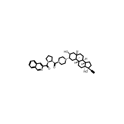 C#C[C@]1(O)CC[C@H]2[C@@H]3CC[C@H]4C[C@H](O)[C@@H](N5CCN(C(=O)[C@@H]6CCCN6C(=O)c6cc7ccccc7cn6)CC5)C[C@]4(C)[C@H]3CC[C@@]21C